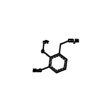 CCCOc1c(CC(=O)OCC)cccc1OC